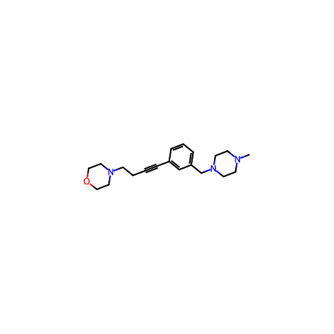 CN1CCN(Cc2cccc(C#CCCN3CCOCC3)c2)CC1